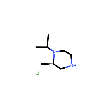 CC(C)N1CCNC[C@H]1C.Cl